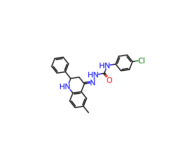 Cc1ccc2c(c1)C(=NNC(=O)Nc1ccc(Cl)cc1)CC(c1ccccc1)N2